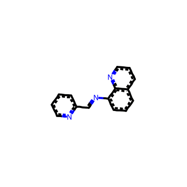 C(=Nc1cccc2cccnc12)c1ccccn1